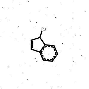 [Ru][CH]1C=Cc2ccccc21